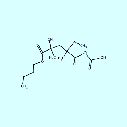 CCCCOC(=O)C(C)(C)CC(C)(CC)C(=O)OC(=O)O